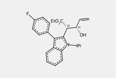 C=C[C@H](O)[C@@H](C(=O)OCC)c1c(-c2ccc(F)cc2)c2ccccc2n1C(C)C